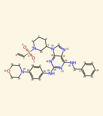 C=CS(=O)(=O)N1CCCC(n2cnc3c(NCc4ccccc4)nc(Nc4ccc(N5CCOCC5)cc4)nc32)C1